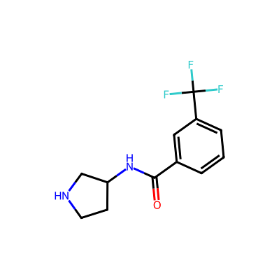 O=C(NC1CCNC1)c1cccc(C(F)(F)F)c1